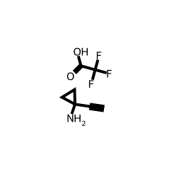 C#CC1(N)CC1.O=C(O)C(F)(F)F